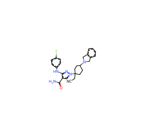 N#CCC1(n2cc(C(N)=O)c(Nc3ccc(F)cc3)n2)CCC(N2Cc3ccccc3C2)CC1